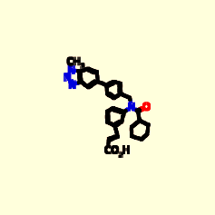 Cn1nnc2cc(-c3ccc(CN(C(=O)C4CCCCC4)c4cccc(C=CC(=O)O)c4)cc3)ccc21